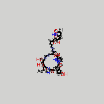 CC[C@H]1C[C@H](C)[C@@]2(NC1=O)O[C@@H](C[C@H](O)[C@@H](C)CC/C=C/C=C(\C)[C@@H]1C/C=C/C=C/[C@H](O)[C@H](C)[C@@H](O)[C@@H](CCC(C)=O)C(=O)N[C@@H](C(C)C)C(=O)CC[C@@H](Cc3cccc(O)c3)C(=O)N3CCCC(N3)C(=O)O1)[C@H](C)C=C2C